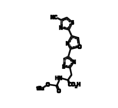 CC(C)(C)OC(=O)N[C@@H](Cc1nc(-c2nc(-c3nc(C#N)cs3)co2)cs1)C(=O)O